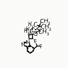 CC(C)(C)[Si](C)(C)O[C@]1(C)C[C@H](n2cnc3cccc(C(F)F)c32)C1